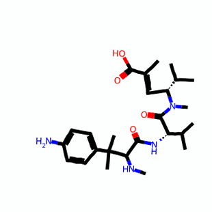 CNC(C(=O)N[C@H](C(=O)N(C)[C@H](/C=C(\C)C(=O)O)C(C)C)C(C)C)C(C)(C)c1ccc(N)cc1